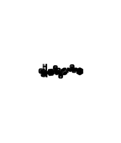 O=C(CCN1CCN(C(=O)C2CN(c3ccc(-c4noc(=O)[nH]4)cc3)C(=O)O2)CC1)OCc1ccccc1